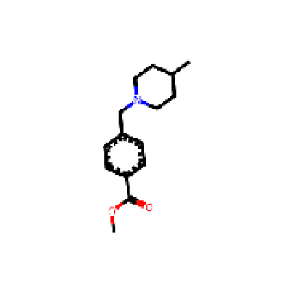 COC(=O)c1ccc(CN2CCC(C)CC2)cc1